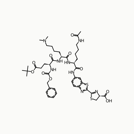 CC(=O)NCCCC[C@H](NC(=O)[C@H](CCCCN(C)C)NC(=O)[C@H](CCC(=O)OC(C)(C)C)NC(=O)OCc1ccccc1)C(=O)Nc1ccc2nc(C3=N[C@@H](C(=O)O)CS3)sc2c1